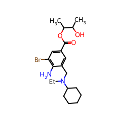 CCN(Cc1cc(C(=O)OC(C)C(C)O)cc(Br)c1N)C1CCCCC1